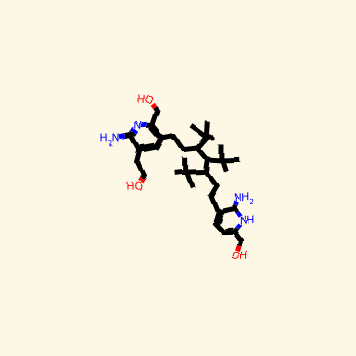 CC(C)(C)C(CCC1=CC=C(CO)NC1N)C(C(CCc1cc(CCO)c(N)nc1CO)C(C)(C)C)C(C)(C)C